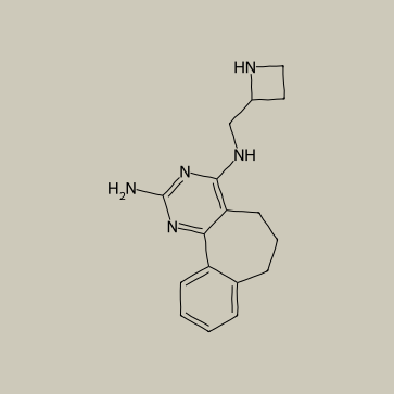 Nc1nc(NCC2CCN2)c2c(n1)-c1ccccc1CCC2